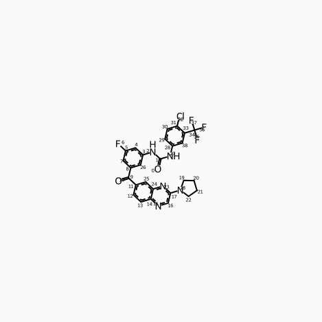 O=C(Nc1cc(F)cc(C(=O)c2ccc3ncc(N4CCCC4)nc3c2)c1)Nc1ccc(Cl)c(C(F)(F)F)c1